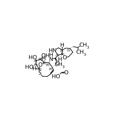 CC(C)C[C@@H]1CCO[C@@H]2[C@H](CN[C@@H]2C(=O)N[C@H]2[C@H]3O[C@H](SCCC=C[C@H]2C)[C@H](O)[C@@H](O)[C@H]3O)C1.O=CO